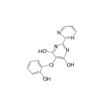 Oc1ccccc1Oc1c(O)nc(-c2ncccn2)nc1O